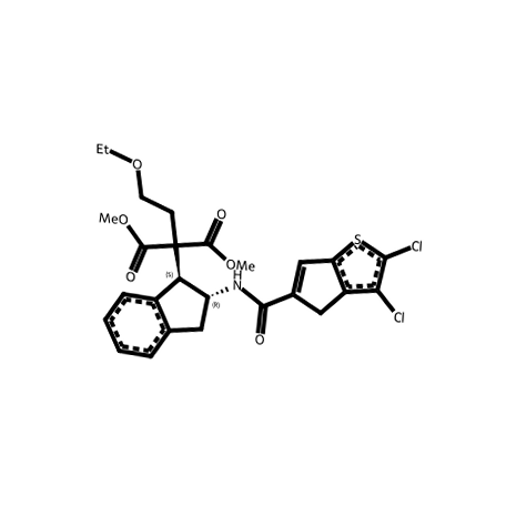 CCOCCC(C(=O)OC)(C(=O)OC)[C@@H]1c2ccccc2C[C@H]1NC(=O)C1=Cc2sc(Cl)c(Cl)c2C1